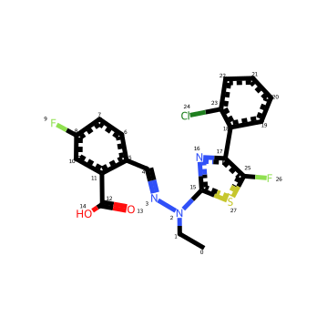 CCN(/N=C/c1ccc(F)cc1C(=O)O)c1nc(-c2ccccc2Cl)c(F)s1